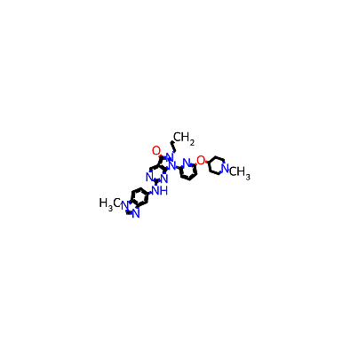 C=CCn1c(=O)c2cnc(Nc3ccc4c(c3)ncn4C)nc2n1-c1cccc(OC2CCN(C)CC2)n1